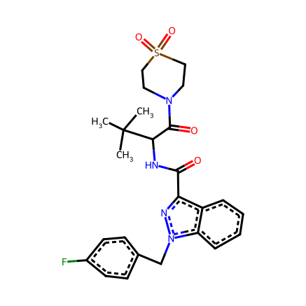 CC(C)(C)C(NC(=O)c1nn(Cc2ccc(F)cc2)c2ccccc12)C(=O)N1CCS(=O)(=O)CC1